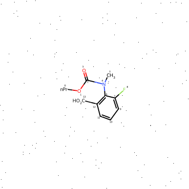 CCCOC(=O)N(C)c1c(F)cccc1C(=O)O